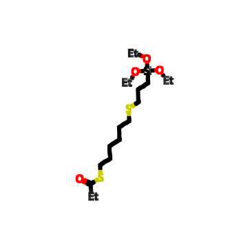 CCO[Si](CCCSCCCCCCSC(=O)CC)(OCC)OCC